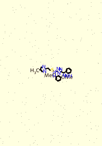 COc1cccc(OC)c1-n1c(NSCCc2ncc(C)cn2)nnc1-c1n[nH]c2ccccc12